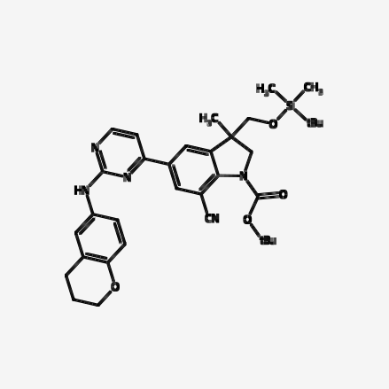 CC(C)(C)OC(=O)N1CC(C)(CO[Si](C)(C)C(C)(C)C)c2cc(-c3ccnc(Nc4ccc5c(c4)CCCO5)n3)cc(C#N)c21